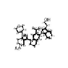 CC(=O)N1CCc2c(c(N3CCCc4cc(-n5cc(CCO)c6ccncc65)c(C(F)F)cc43)nn2C2CCOCC2)C1